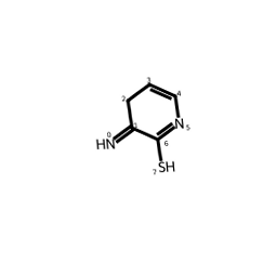 N=C1CC=CN=C1S